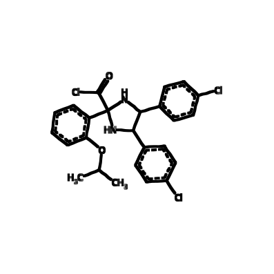 CC(C)Oc1ccccc1C1(C(=O)Cl)NC(c2ccc(Cl)cc2)C(c2ccc(Cl)cc2)N1